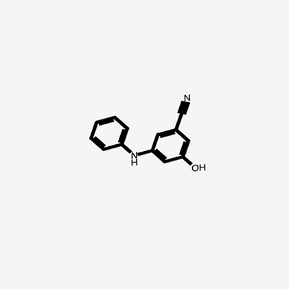 N#Cc1cc(O)cc(Nc2ccccc2)c1